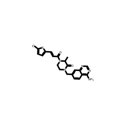 CC1C(=O)N(Cc2ccc3c(N)ncnc3c2)CCN1C(=O)C=Cc1ccc(Cl)s1